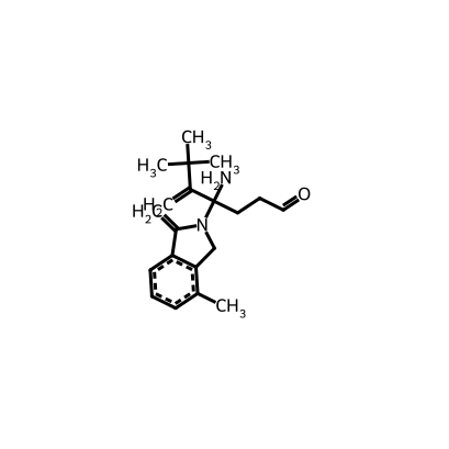 C=C1c2cccc(C)c2CN1C(N)(CCC=O)C(=C)C(C)(C)C